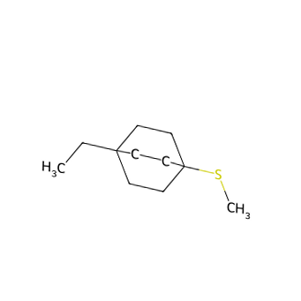 CCC12CCC(SC)(CC1)CC2